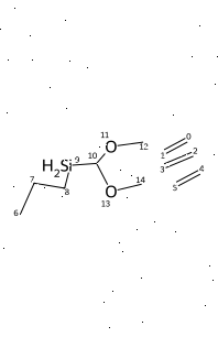 C=C.C=C.C=C.CCC[SiH2]C(OC)OC